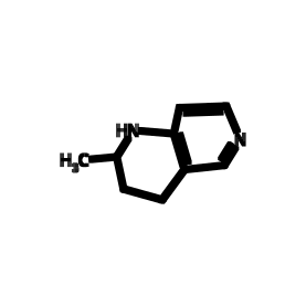 CC1CCc2cnccc2N1